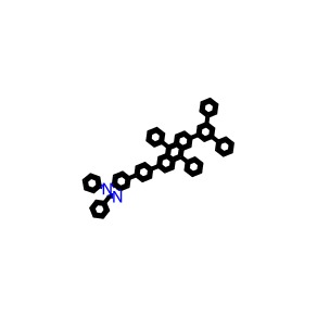 c1ccc(-c2cc(-c3ccccc3)cc(-c3ccc4c(-c5ccccc5)c5cc(-c6ccc(-c7ccc8c(c7)nc(-c7ccccc7)n8-c7ccccc7)cc6)ccc5c(-c5ccccc5)c4c3)c2)cc1